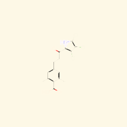 Cc1cc(CCC(=O)c2[nH]c(Cl)c(Cl)c2Cl)cc(C)c1C(=O)O